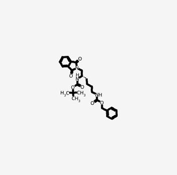 CC(C)(C)OC(=O)N[C@@H](CCCCNC(=O)OCc1ccccc1)CN1C(=O)c2ccccc2C1=O